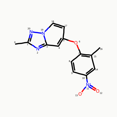 Cc1nc2cc(Oc3ccc([N+](=O)[O-])cc3C)ccn2n1